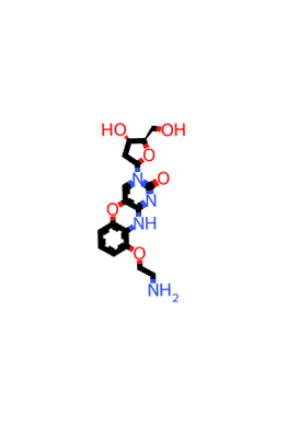 NCCOc1cccc2c1Nc1nc(=O)n(C3C[C@@H](O)[C@@H](CO)O3)cc1O2